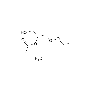 CCOOCC(CO)OC(C)=O.O